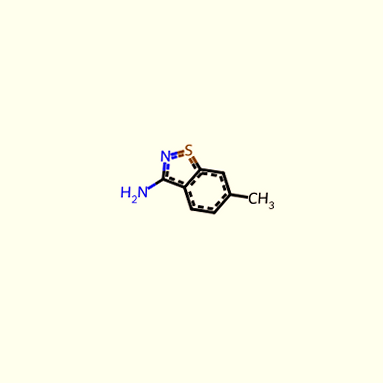 Cc1ccc2c(N)nsc2c1